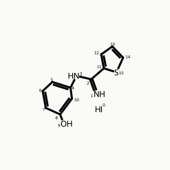 I.N=C(Nc1cccc(O)c1)c1cccs1